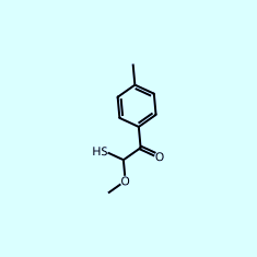 COC(S)C(=O)c1ccc(C)cc1